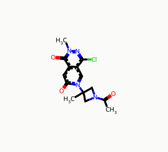 CC(=O)N1CC(C)(n2cc3c(Cl)nn(C)c(=O)c3cc2=O)C1